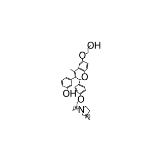 CC1=C(c2cccc(O)c2)C(c2ccc(OC[C@H](C)N3CC[C@@H](C)C3)cc2)Oc2ccc(OCCO)cc21